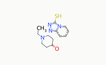 CCN1CCC(=O)CC1.Sc1nnc2ccccn12